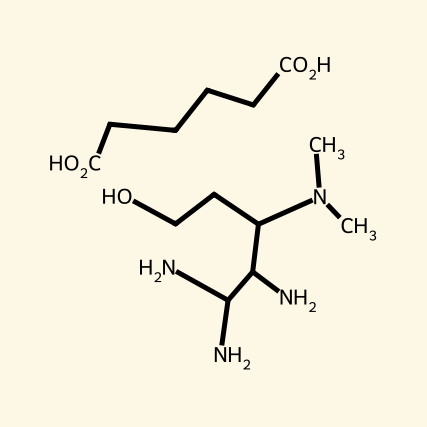 CN(C)C(CCO)C(N)C(N)N.O=C(O)CCCCC(=O)O